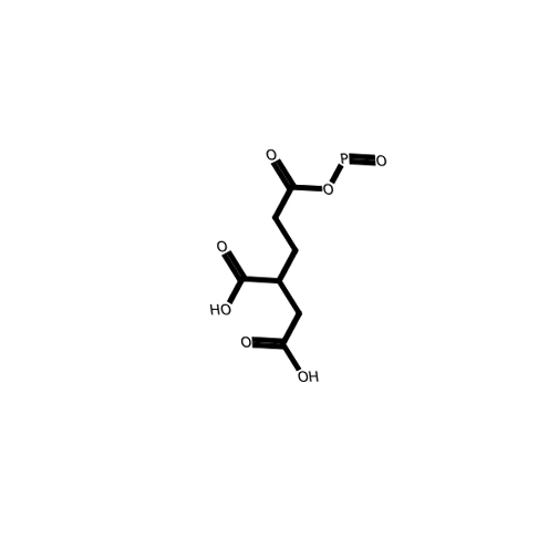 O=POC(=O)CCC(CC(=O)O)C(=O)O